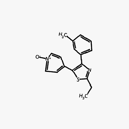 CCc1nc(-c2cccc(C)c2)c(-c2cc[n+]([O-])cc2)s1